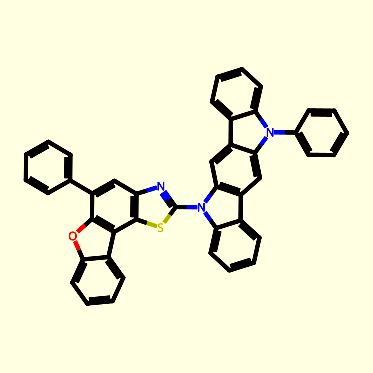 c1ccc(-c2cc3nc(-n4c5ccccc5c5cc6c(cc54)c4ccccc4n6-c4ccccc4)sc3c3c2oc2ccccc23)cc1